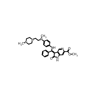 COC(=O)c1cc2c(cn1)C(=C(Nc1ccc(N(C)CCN3CCN(C)CC3)cc1)c1ccccc1)C(=O)N2